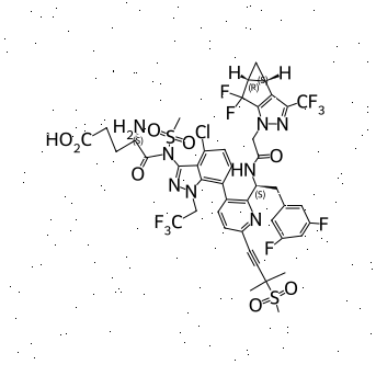 CC(C)(C#Cc1ccc(-c2ccc(Cl)c3c(N(C(=O)[C@@H](N)CCC(=O)O)S(C)(=O)=O)nn(CC(F)(F)F)c23)c([C@H](Cc2cc(F)cc(F)c2)NC(=O)Cn2nc(C(F)(F)F)c3c2C(F)(F)[C@@H]2C[C@H]32)n1)S(C)(=O)=O